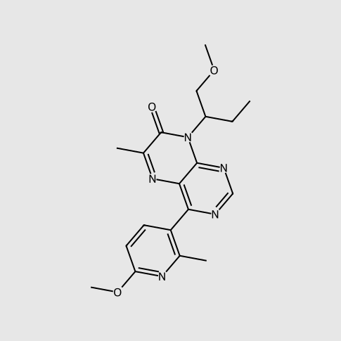 CCC(COC)n1c(=O)c(C)nc2c(-c3ccc(OC)nc3C)ncnc21